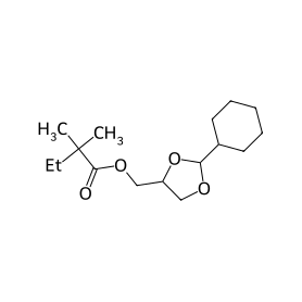 CCC(C)(C)C(=O)OCC1COC(C2CCCCC2)O1